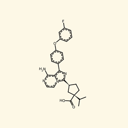 CC(C)[C@]1(C(=O)O)CC[C@H](c2nc(-c3ccc(Oc4cccc(F)c4)cc3)c3c(N)nccn23)C1